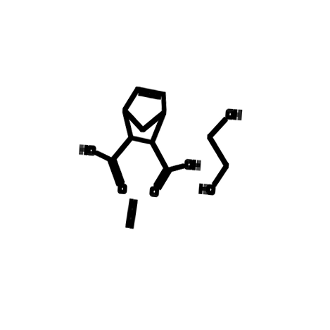 C=C.O=C(O)C1C2C=CC(C2)C1C(=O)O.OCCO